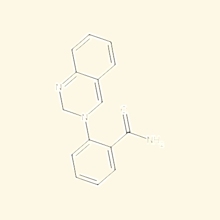 NC(=O)c1ccccc1N1C=c2ccccc2=NC1